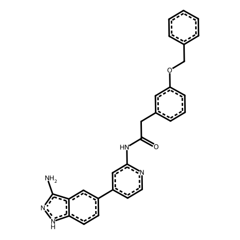 Nc1n[nH]c2ccc(-c3ccnc(NC(=O)Cc4cccc(OCc5ccccc5)c4)c3)cc12